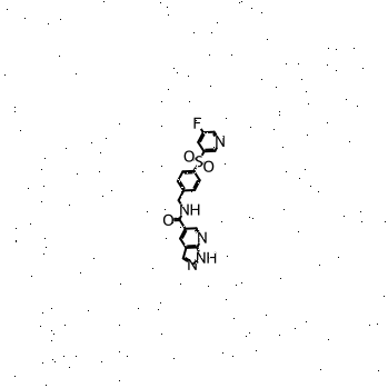 O=C(NCc1ccc(S(=O)(=O)c2cncc(F)c2)cc1)c1cnc2[nH]ncc2c1